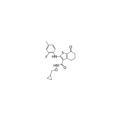 Cc1ccc(Nc2sc3c(c2C(=O)NOCC2CC2)CCCC3=O)c(F)c1